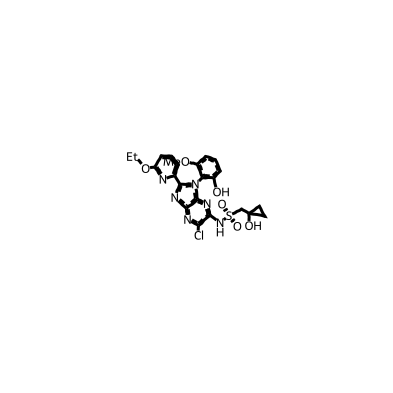 CCOC1=NC(c2nc3nc(Cl)c(NS(=O)(=O)CC4(O)CC4)nc3n2-c2c(O)cccc2OC)=C=C=C1